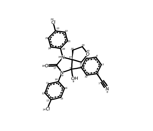 N#Cc1cccc(C2(O)N(c3ccc(Cl)cc3)C(=O)N(c3ccc(Cl)cc3)[C@@]23CCOC3)c1